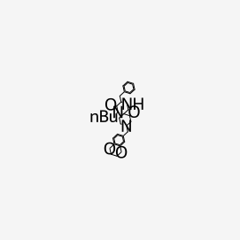 CCCCN1C(=O)C(Cc2ccccc2)NC(=O)C12CCN(Cc1ccc3c(c1)OCCO3)CC2